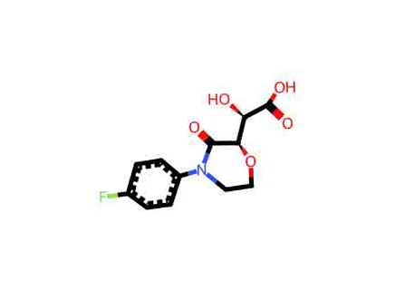 O=C(O)[C@H](O)[C@H]1OCCN(c2ccc(F)cc2)C1=O